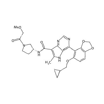 COCC(=O)N1CC[C@@H](NC(=O)c2c(C)[nH]c3c(-c4c(OCC5CC5)ccc5c4OCO5)ncnc23)C1